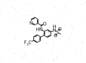 CS(=O)(=O)Nc1ccc(-c2ccc(C(F)(F)F)cc2)c(NC(=O)c2cccnc2)c1